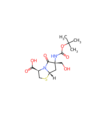 CC(C)(C)OC(=O)N[C@]1(CO)C[C@@H]2SC[C@@H](C(=O)O)N2C1=O